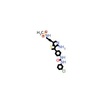 CS(=O)(=O)NCC#Cc1cnc(N)c2c(-c3ccc(NC(=O)Nc4cccc(Cl)c4)cc3)csc12